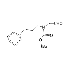 CC(C)(C)OC(=O)N(CC=O)CCCc1ccccc1